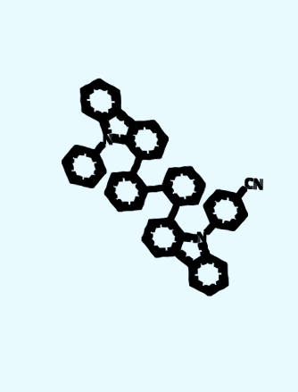 N#Cc1ccc(-n2c3ccccc3c3cccc(-c4ccccc4-c4ccccc4-c4cccc5c6ccccc6n(-c6ccccc6)c45)c32)cc1